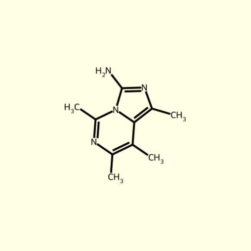 Cc1nc(C)n2c(N)nc(C)c2c1C